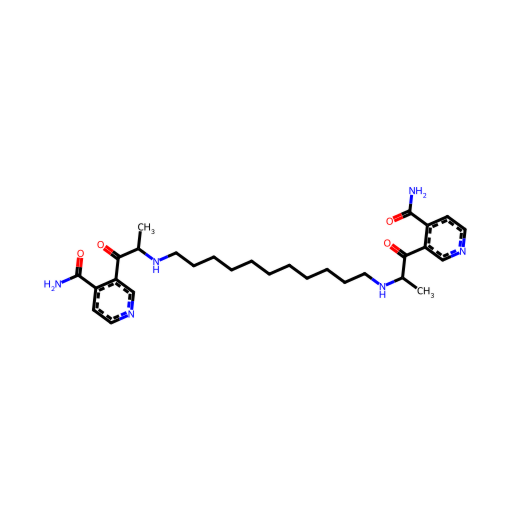 CC(NCCCCCCCCCCCNC(C)C(=O)c1cnccc1C(N)=O)C(=O)c1cnccc1C(N)=O